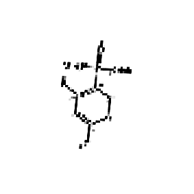 COP(=O)(OC)c1ccc(Cl)cc1F